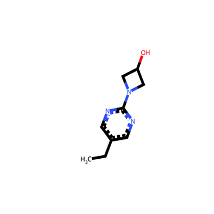 CCc1cnc(N2CC(O)C2)nc1